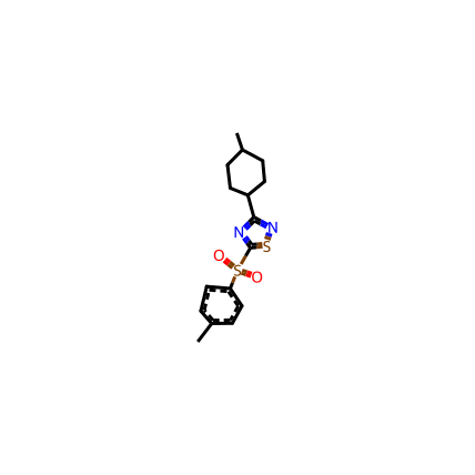 Cc1ccc(S(=O)(=O)c2nc(C3CCC(C)CC3)ns2)cc1